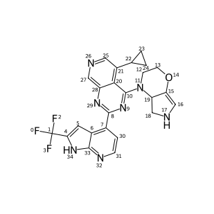 FC(F)(F)c1cc2c(-c3nc(N4CCOC5=CNCC54)c4c(C5CC5)cncc4n3)ccnc2[nH]1